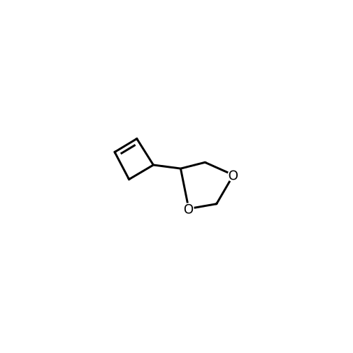 C1=CC(C2COCO2)C1